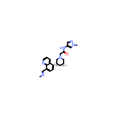 C/N=C/c1ccc([C@H]2C[C@@H](C)CN(CC(=O)Nc3cnn(C)c3)C2)c2cccnc12